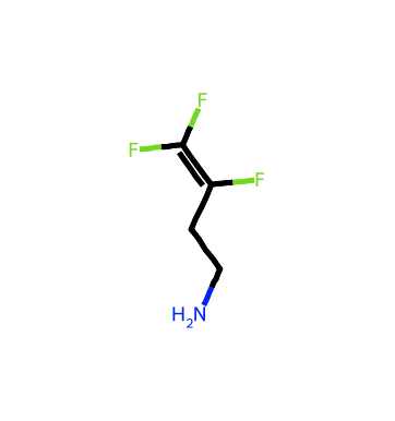 NCCC(F)=C(F)F